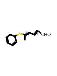 C/C(=C\C=C\C=O)SC1C=CC=CC1